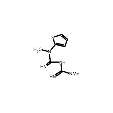 CNC(=N)NC(=N)N(C)c1cccs1